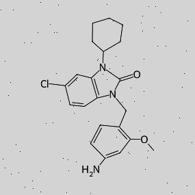 COc1cc(N)ccc1Cn1c(=O)n(C2CCCCC2)c2cc(Cl)ccc21